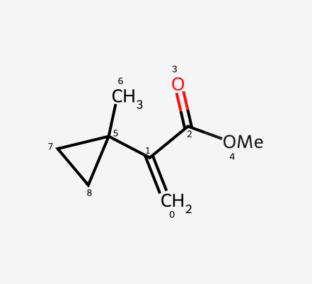 C=C(C(=O)OC)C1(C)CC1